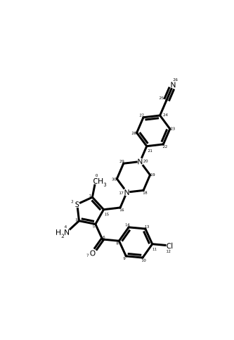 Cc1sc(N)c(C(=O)c2ccc(Cl)cc2)c1CN1CCN(c2ccc(C#N)cc2)CC1